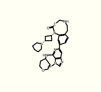 CC(C)n1cnc2cc(-c3ccc4c(c3)N([C@H]3C[C@@H](N5CCCCC5)C3)C(=O)CCNCC4)nc(NC3CCOCC3)c21